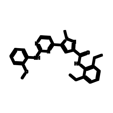 CCc1cccc(CC)c1NC(=O)c1cc(-c2ccnc(Nc3ccccc3OC)n2)n(C)n1